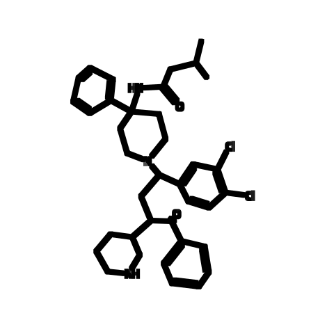 CC(C)CC(=O)NC1(c2ccccc2)CCN(C(CC(C(=O)c2ccccc2)C2CCCNC2)c2ccc(Cl)c(Cl)c2)CC1